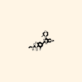 CCNC(=O)Nc1c(F)cc(-c2nc3c(c(N4CCOC[C@@H]4C)n2)CN(C)C3)cc1F